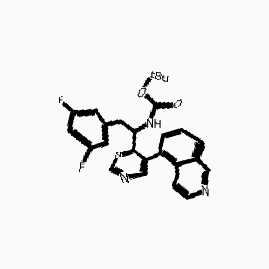 CC(C)(C)OC(=O)NC(Cc1cc(F)cc(F)c1)c1ncncc1-c1cccc2cnccc12